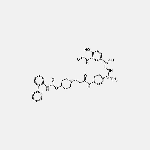 C[C@@H](NC[C@@H](O)c1ccc(O)c(NC=O)c1)c1ccc(NC(=O)CCN2CCC(OC(=O)Nc3ccccc3-c3ccccc3)CC2)cc1